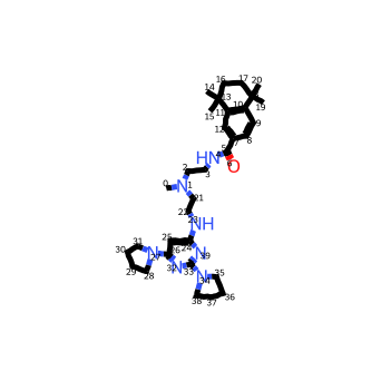 CN(CCNC(=O)c1ccc2c(c1)C(C)(C)CCC2(C)C)CCNc1cc(N2CCCC2)nc(N2CCCC2)n1